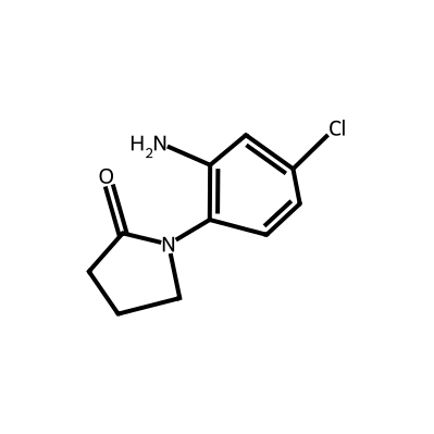 Nc1cc(Cl)ccc1N1CCCC1=O